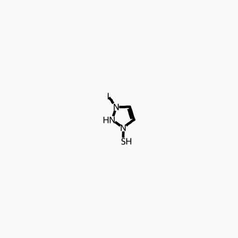 SN1C=CN(I)N1